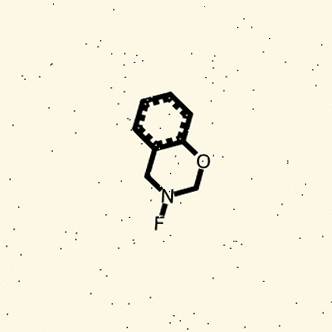 FN1COc2ccccc2C1